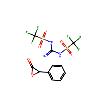 N=C(NS(=O)(=O)C(F)(F)F)NS(=O)(=O)C(F)(F)F.O=C1OC1c1ccccc1